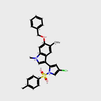 COc1cc2c(-c3cc(Cl)cn3S(=O)(=O)c3ccc(C)cc3)cn(C)c2cc1OCc1ccccc1